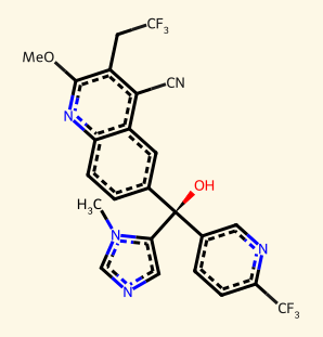 COc1nc2ccc([C@](O)(c3ccc(C(F)(F)F)nc3)c3cncn3C)cc2c(C#N)c1CC(F)(F)F